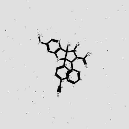 COc1cnc2c(c1)OC1(c3ccc(C#N)cc3)C(c3ccccc3)C(C(=O)O)C(O)C21O